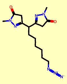 CN1N=C(C(CCCCCCN=[N+]=[N-])C2=NN(C)C(=O)C2)CC1=O